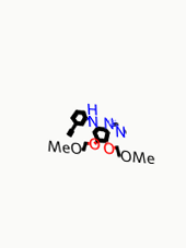 C#Cc1cccc(Nc2cc(OCCOC)c(OCCOC)cc2/N=C\N=C)c1